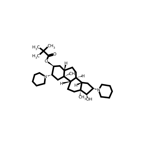 CC(C)(C)C(=O)O[C@H]1C[C@@H]2CC[C@@H]3[C@H](CC[C@]4(C)[C@@H](O)[C@@H](N5CCCCC5)C[C@@H]34)[C@@]2(C)C[C@@H]1N1CCCCC1